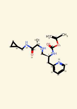 C=C(C)OC(=O)N[C@H](CN[C@@H](CC)C(=O)NCC1CC1)Cc1ccccn1